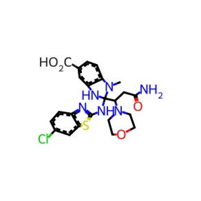 CN1c2ccc(C(=O)O)cc2NC1(Nc1nc2ccc(Cl)cc2s1)C(CC(N)=O)N1CCOCC1